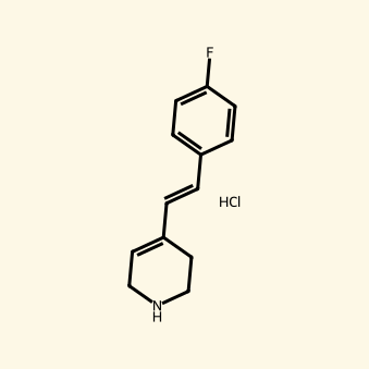 Cl.Fc1ccc(C=CC2=CCNCC2)cc1